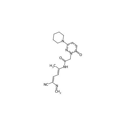 C=N/C(C#N)=C\C=C(/C)NC(=O)Cn1nc(N2CCCCC2)ccc1=O